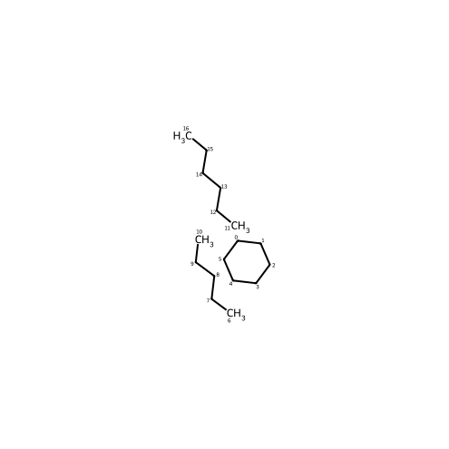 C1CCCCC1.CCCCC.CCCCCC